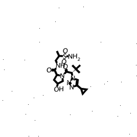 CC(CNC(=O)C1CC(O)CN1C(=O)[C@@H](n1cc(C2CC2)nn1)C(C)(C)C)S(N)(=O)=O